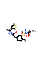 CCC(NC(=O)Cc1ccc(C)c(S(=O)(=O)NC(=O)NC)c1)c1ccsc1